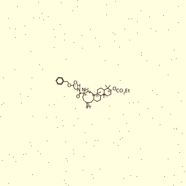 CCOC(=O)O[C@@H]1CC[C@@]2(C)C(CC[C@]3(C)C2CCC2C[C@H](C(C)C)CC[C@](N)(C(=O)NCC(=O)OCc4ccccc4)CC[C@]23C)C1(C)C